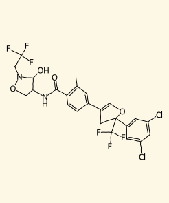 Cc1cc(C2=COC(c3cc(Cl)cc(Cl)c3)(C(F)(F)F)C2)ccc1C(=O)NC1CON(CC(F)(F)F)C1O